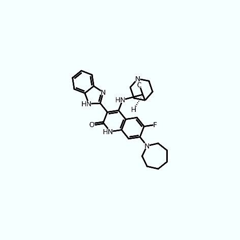 O=c1[nH]c2cc(N3CCCCCC3)c(F)cc2c(N[C@H]2CN3CCC2CC3)c1-c1nc2ccccc2[nH]1